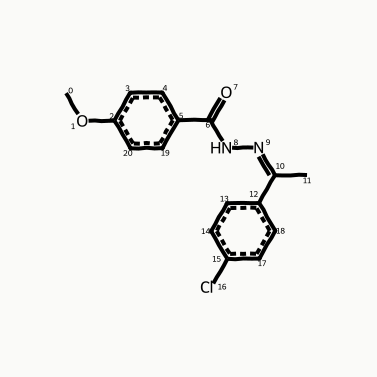 COc1ccc(C(=O)N/N=C(/C)c2ccc(Cl)cc2)cc1